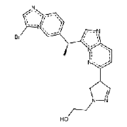 C[C@@H](c1ccc2ncc(Br)n2c1)c1cnc2ccc(C3C=NN(CCO)C3)nn12